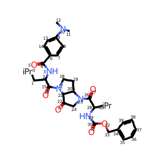 CC(C)CC(NC(=O)c1ccc(N(C)C)cc1)C(=O)N1CCC2C1C(=O)CN2C(=O)C(NC(=O)OCc1ccccc1)C(C)C